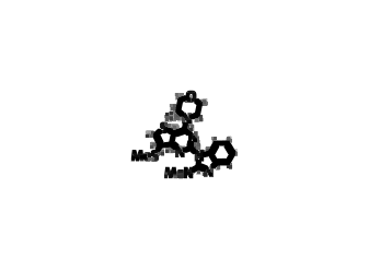 CNc1nc2ccccc2n1-c1nc(N2CCOC[C@H]2C)c2scc(SC)c2n1